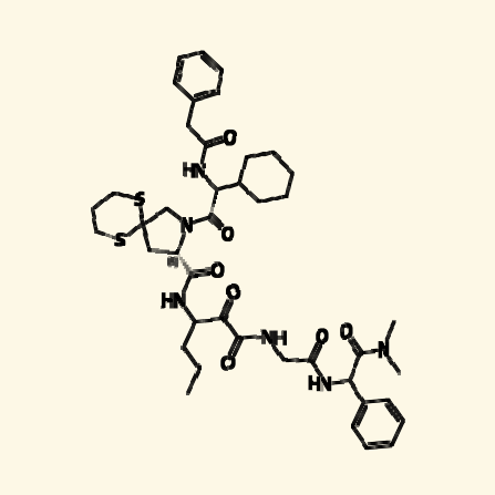 CCCC(NC(=O)[C@@H]1CC2(CN1C(=O)C(NC(=O)Cc1ccccc1)C1CCCCC1)SCCCS2)C(=O)C(=O)NCC(=O)NC(C(=O)N(C)C)c1ccccc1